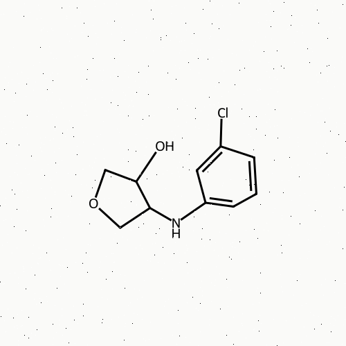 OC1COCC1Nc1cccc(Cl)c1